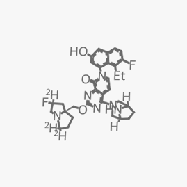 [2H]C1([2H])CC[C@@]2(COc3nc(N4C[C@H]5CC[C@@H](C4)N5)c4ccn(-c5cc(O)cc6ccc(F)c(CC)c56)c(=O)c4n3)C[C@@]([2H])(F)CN12